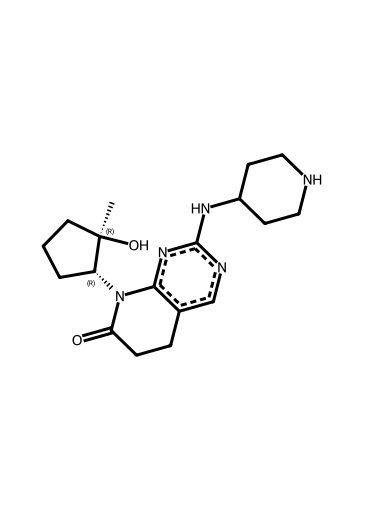 C[C@@]1(O)CCC[C@H]1N1C(=O)CCc2cnc(NC3CCNCC3)nc21